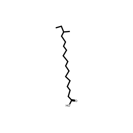 CCC(C)CCCCCCCCCCCCCC(=O)O